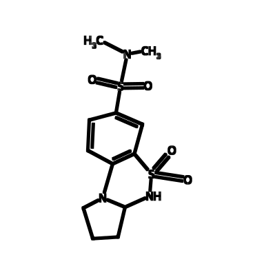 CN(C)S(=O)(=O)c1ccc2c(c1)S(=O)(=O)NC1CCCN21